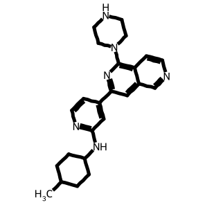 CC1CCC(Nc2cc(-c3cc4cnccc4c(N4CCNCC4)n3)ccn2)CC1